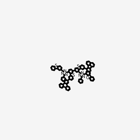 c1ccc(-c2nc(-c3cccc4c3oc3ccccc34)nc(-c3cc(-c4ccc(-c5nc(-c6ccccc6)nc(-c6ccc7sc8ccccc8c7c6)n5)c5c4sc4ccc(-c6ccc7c8ccccc8c8ccccc8c7c6)cc45)cc4sc5ccc(-c6cccc7c6-c6cccc8cccc-7c68)cc5c34)n2)cc1